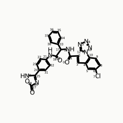 O=C(/C=C/c1cc(Cl)ccc1-n1cnnn1)NC(C(=O)Nc1ccc(-c2nc(=O)o[nH]2)cc1)c1ccccc1